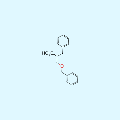 O=C(O)[C@H](COCc1ccccc1)Cc1ccccc1